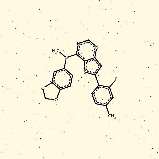 Cc1ccc(-c2cc3ncnc(N(C)c4ccc5c(c4)OCO5)c3s2)c(F)c1